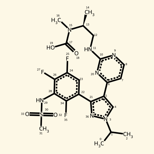 CC(C)n1cc(-c2ccnc(NC[C@H](C)N(C)C(=O)O)n2)c(-c2cc(F)c(F)c(NS(C)(=O)=O)c2F)n1